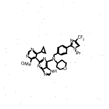 COc1ncnc(C2CC2)c1-c1nc(N(Cc2ccc(-c3nc(C(F)(F)F)cn3C(C)C)cc2)C2CCOCC2)c2[nH]cnc2n1